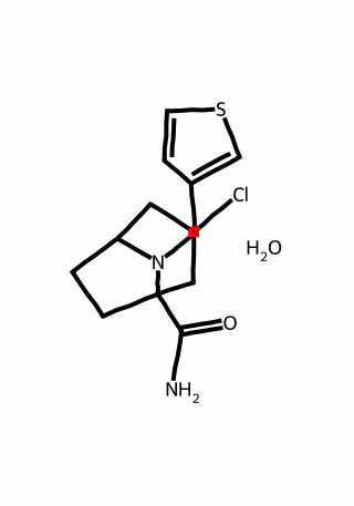 NC(=O)C12CCC(CC(Cl)C1)N2Cc1ccsc1.O